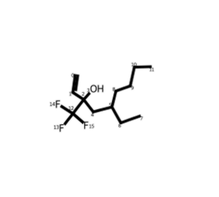 C=CC(O)(CC(CC)CCCC)C(F)(F)F